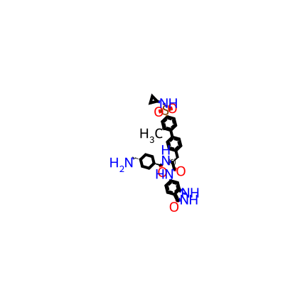 Cc1cc(S(=O)(=O)NC2CC2)ccc1-c1ccc(C[C@H](NC(=O)[C@H]2CC[C@H](CN)CC2)C(=O)Nc2ccc3c(=O)[nH][nH]c3c2)cc1